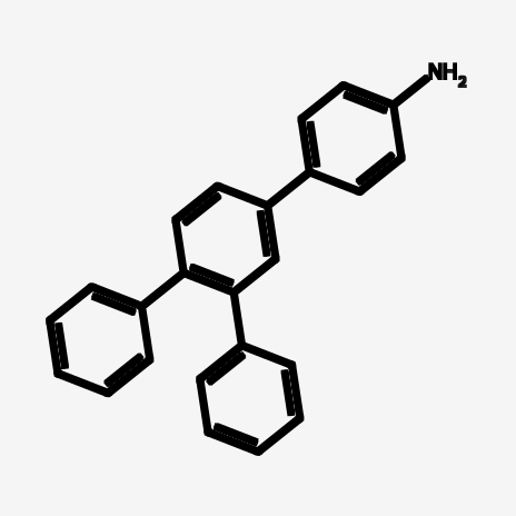 Nc1ccc(-c2ccc(-c3ccccc3)c(-c3ccccc3)c2)cc1